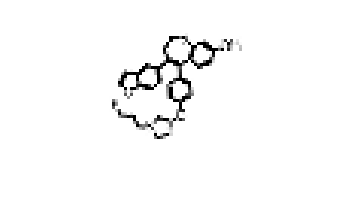 Oc1ccc2c(c1)SCCC(c1ccc3occc3c1)=C2c1ccc(O[C@H]2CCN(CCCF)C2)cc1